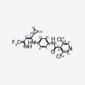 N=C(/C=C(\Nc1ccc(NC(=O)c2c(Cl)cncc2Cl)cc1)C1CC1)C(F)(F)F